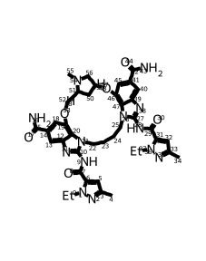 CCn1nc(C)cc1C(=O)Nc1nc2cc(C(N)=O)cc3c2n1CCCCn1c(NC(=O)c2cc(C)nn2CC)nc2cc(C(N)=O)cc(c21)O[C@@H]1C[C@H](CO3)N(C)C1